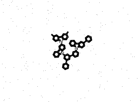 Cc1ccc2c(c1)c1cc(C)ccc1n2-c1ccc2c(c1)c1ccccc1n2-c1cc(-c2ccccc2)cc(-c2cccc(-n3c4ccccc4c4cc(-c5ccccc5)ccc43)c2)c1